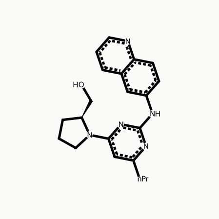 CCCc1cc(N2CCC[C@H]2CO)nc(Nc2ccc3ncccc3c2)n1